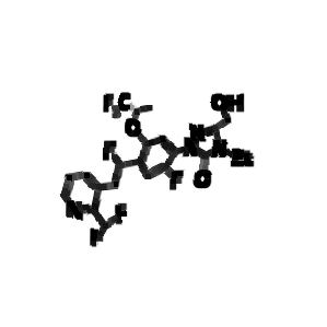 CCn1c(CO)nn(-c2cc(O[C@@H](C)C(F)(F)F)c(/C(F)=C/c3cccnc3C(F)F)cc2F)c1=O